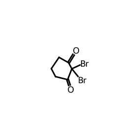 O=C1CCCC(=O)C1(Br)Br